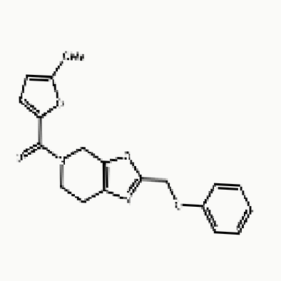 COc1ccc(C(=O)N2CCc3nc(COc4ccccc4)oc3C2)o1